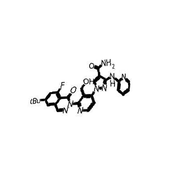 CC(C)(C)c1cc(F)c2c(=O)n(-c3nccc(-n4cc(C(N)=O)c(Nc5ccccn5)n4)c3CO)ncc2c1